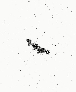 Cc1cc(-c2ccccc2)cc(C)c1S(=O)(=O)NC(CNC(=O)c1cccc2c(CCCNc3ncc[nH]3)n[nH]c12)C(=O)O